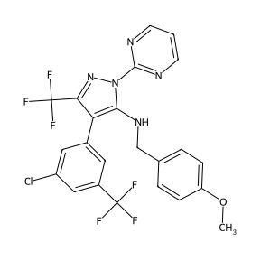 COc1ccc(CNc2c(-c3cc(Cl)cc(C(F)(F)F)c3)c(C(F)(F)F)nn2-c2ncccn2)cc1